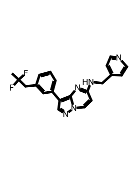 CC(F)(F)Cc1cccc(-c2cnn3ccc(NCc4ccncc4)nc23)c1